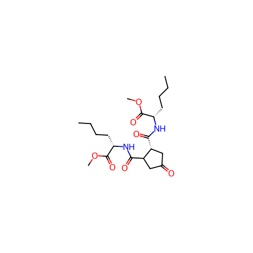 CCCC[C@H](NC(=O)C1CC(=O)C[C@H]1C(=O)N[C@@H](CCCC)C(=O)OC)C(=O)OC